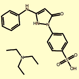 CCN(CC)CC.O=c1cc(Nc2ccccc2)[nH]n1-c1ccc(S(=O)(=O)O)cc1